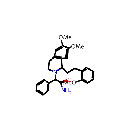 COc1ccccc1CCC1c2cc(OC)c(OC)cc2CCN1C(C(N)=O)c1ccccc1